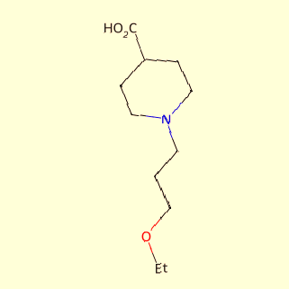 CCOCCCN1CCC(C(=O)O)CC1